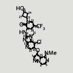 CNc1nccn2ncc(Oc3cnc4nc(Nc5cc(C(F)(F)F)cn(C6CC(O)C6)c5=O)n(C)c4c3Cl)c12